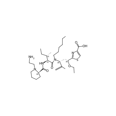 C=C(C)[C@@H](C[C@@H](OCC)c1nc(C(=O)O)cs1)N(CCCCCC)C(=O)[C@@H](NC(=O)[C@H]1CCCCN1CCN)[C@@H](C)CC